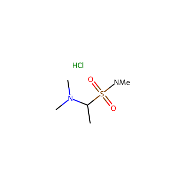 CNS(=O)(=O)C(C)N(C)C.Cl